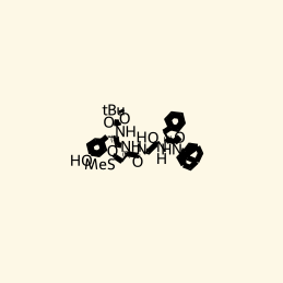 CSCC[C@@H](NC(=O)[C@H](Cc1ccc(O)cc1)NC(=O)OC(C)(C)C)C(=O)NCC(=O)N[C@@H](Cc1ccccc1)C(=O)NC12CC3CC(CC(C3)C1)C2